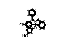 OC1CCC(OC2(c3ccc(Cl)cc3)c3ccccc3CN2Cc2ccccc2)C1